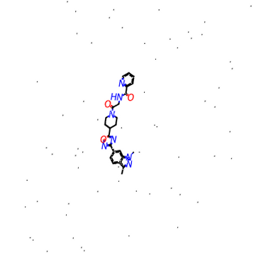 Cc1nn(C)c2cc(-c3noc(C4CCN(C(=O)CNC(=O)c5ccccn5)CC4)n3)ccc12